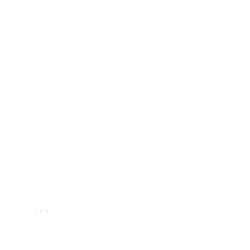 C/C=C/C1CCC(COC2CCC(c3ccc(OCCCC)c(F)c3F)CO2)CC1